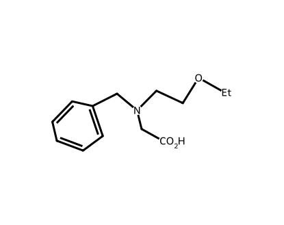 CCOCCN(CC(=O)O)Cc1ccccc1